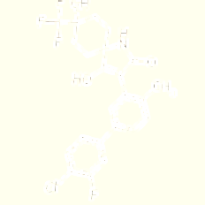 Cc1ccc(-c2ccc(Cl)c(F)c2)cc1C1=C(O)C2(CCC(O)(C(F)(F)F)CC2)NC1=O